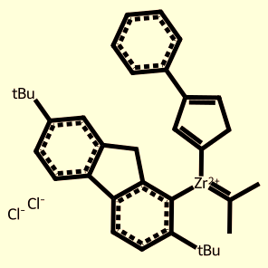 C[C](C)=[Zr+2]([C]1=CC(c2ccccc2)=CC1)[c]1c(C(C)(C)C)ccc2c1Cc1cc(C(C)(C)C)ccc1-2.[Cl-].[Cl-]